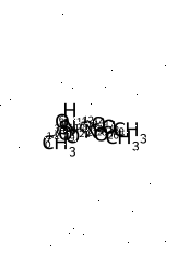 CCCCS(=O)(=O)NC(=O)c1ccc(OC(=O)OC(C)C)nc1